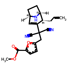 C=CC[C@@H]1C(C(C#N)(C#N)Cc2ccc(C(=O)OC)o2)=C[C@H]2CC[C@@H]1N2